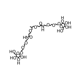 CC(COCCC(=O)NCCOCCOCCO[C@H]1OC(CO)[C@@H](O)[C@H](O)C1O)COCCC(=O)NCCOCCOCCO[C@H]1OC(CO)[C@@H](O)C(O)[C@H]1O